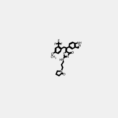 COc1ccc(CC(=C2SC(NCCCN3CCCC3=O)=NC2=O)c2ccc3[nH]ncc3c2)c(C(F)(F)F)c1